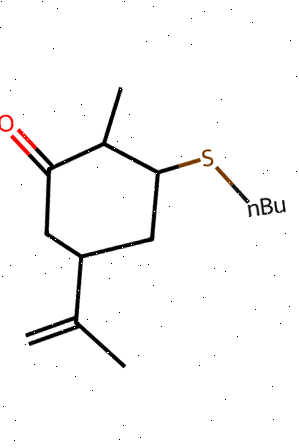 C=C(C)C1CC(=O)C(C)C(SCCCC)C1